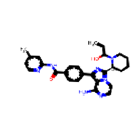 C=CC(O)N1CCCC[C@H]1c1nc(-c2ccc(C(=O)Nc3cc(C(F)(F)F)ccn3)cc2)c2c(N)nccn12